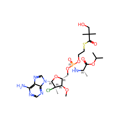 CO[C@@H]1[C@@H](CO[P@@](=O)(N[C@@H](C)C(=O)OC(C)C)OCCSC(=O)C(C)(C)CO)O[C@@H](n2cnc3c(N)ncnc32)[C@]1(C)Cl